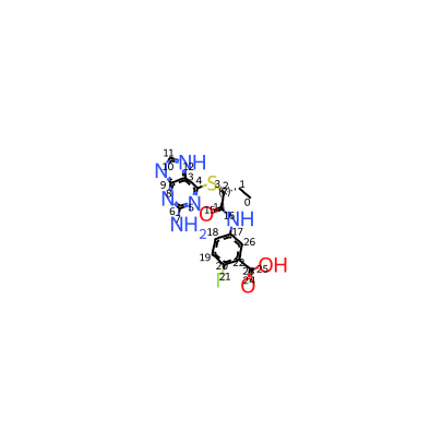 CC[C@@H](Sc1nc(N)nc2nc[nH]c12)C(=O)Nc1ccc(F)c(C(=O)O)c1